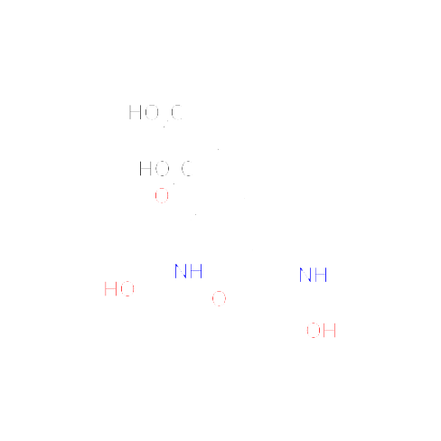 O=C(O)C1(C(=O)O)CCCCC1(C(=O)NO)C(=O)NO